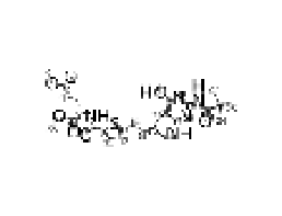 COC(=O)CC[C@H](NC(=O)c1ccc(CCC2CNc3nc(NC(=O)C(C)(C)C)nc(O)c3C2)s1)C(=O)OC